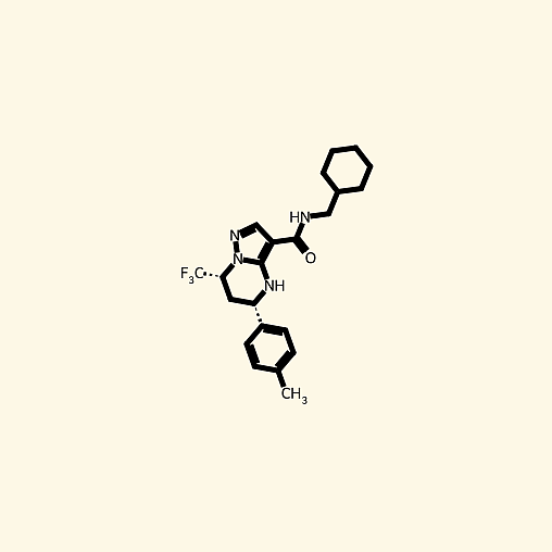 Cc1ccc([C@@H]2C[C@H](C(F)(F)F)n3ncc(C(=O)NCC4CCCCC4)c3N2)cc1